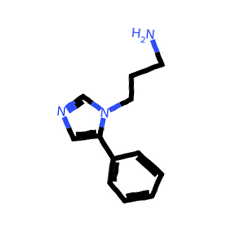 NCCCn1cncc1-c1ccccc1